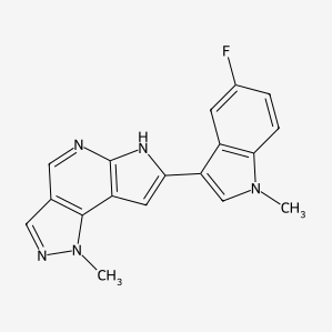 Cn1cc(-c2cc3c(ncc4cnn(C)c43)[nH]2)c2cc(F)ccc21